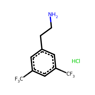 Cl.NCCc1cc(C(F)(F)F)cc(C(F)(F)F)c1